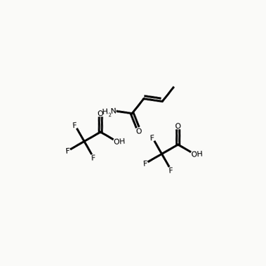 CC=CC(N)=O.O=C(O)C(F)(F)F.O=C(O)C(F)(F)F